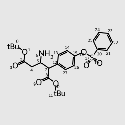 CC(C)(C)OC(=O)CC(N)C(C(=O)OC(C)(C)C)c1ccc(OS(=O)(=O)c2ccccc2)cc1